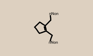 CCCCCCCCCCC1=C(CCCCCCCCCC)CCC1